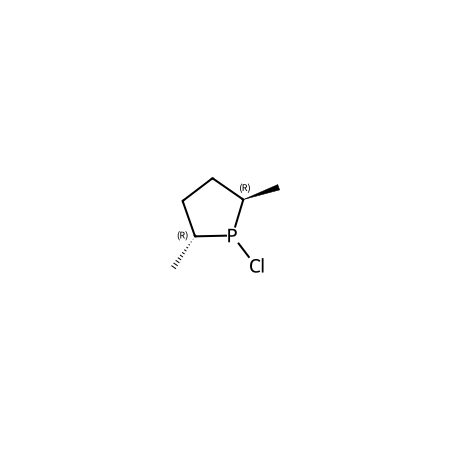 C[C@@H]1CC[C@@H](C)P1Cl